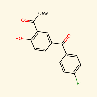 COC(=O)c1cc(C(=O)c2ccc(Br)cc2)ccc1O